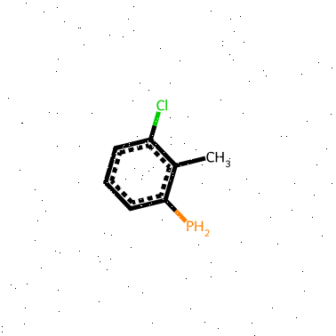 Cc1c(P)cccc1Cl